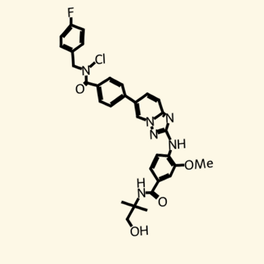 COc1cc(C(=O)NC(C)(C)CO)ccc1Nc1nc2ccc(-c3ccc(C(=O)N(Cl)Cc4ccc(F)cc4)cc3)cn2n1